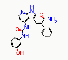 NC(=O)C(=Cc1c[nH]c2nccc(NC(=O)Nc3cccc(O)c3)c12)c1ccccc1